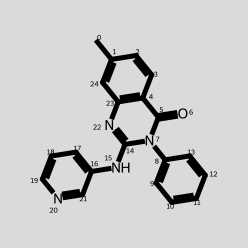 Cc1ccc2c(=O)n(-c3ccccc3)c(Nc3cccnc3)nc2c1